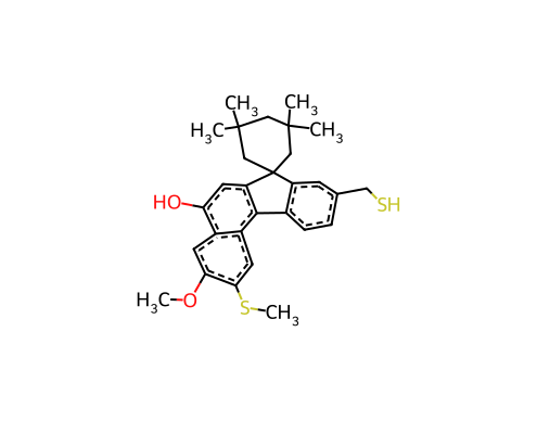 COc1cc2c(O)cc3c(c2cc1SC)-c1ccc(CS)cc1C31CC(C)(C)CC(C)(C)C1